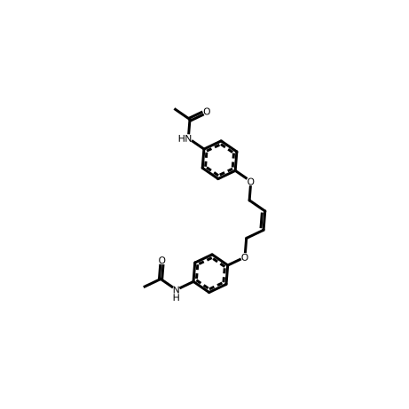 CC(=O)Nc1ccc(OC/C=C\COc2ccc(NC(C)=O)cc2)cc1